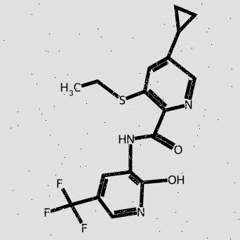 CCSc1cc(C2CC2)cnc1C(=O)Nc1cc(C(F)(F)F)cnc1O